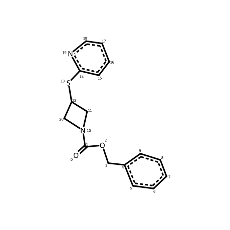 O=C(OCc1ccccc1)N1CC(Sc2ccccn2)C1